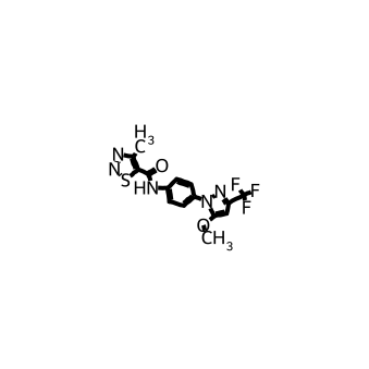 COc1cc(C(F)(F)F)nn1-c1ccc(NC(=O)c2snnc2C)cc1